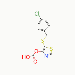 O=C(O)Oc1ncsc1SCc1ccc(Cl)cc1